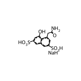 NC(=O)Cc1cc(S(=O)(=O)O)cc2cc(S(=O)(=O)O)cc(O)c12.[NaH]